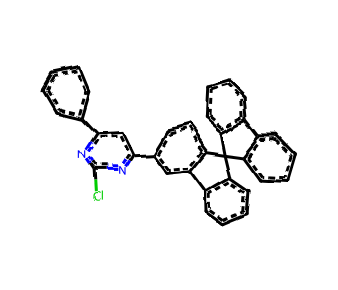 Clc1nc(-c2ccccc2)cc(-c2ccc3c(c2)-c2ccccc2C32c3ccccc3-c3ccccc32)n1